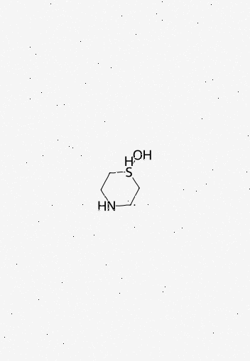 O[SH]1C[CH]NCC1